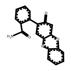 NC(=O)c1ccccc1-c1cc2nc3ccccc3oc-2cc1=O